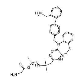 C[C@H](CNC(C)(C)CC(=O)N[C@@H]1CSc2ccccc2N(Cc2ccc(-c3ccccc3CN)cc2)C1=O)OC(=O)CN